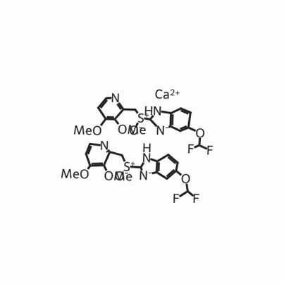 COc1ccnc(C[S+]([O-])C2[N-]c3cc(OC(F)F)ccc3N2)c1OC.COc1ccnc(C[S+]([O-])C2[N-]c3cc(OC(F)F)ccc3N2)c1OC.[Ca+2]